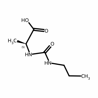 CCCNC(=O)N[C@@H](C)C(=O)O